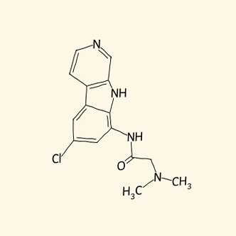 CN(C)CC(=O)Nc1cc(Cl)cc2c1[nH]c1cnccc12